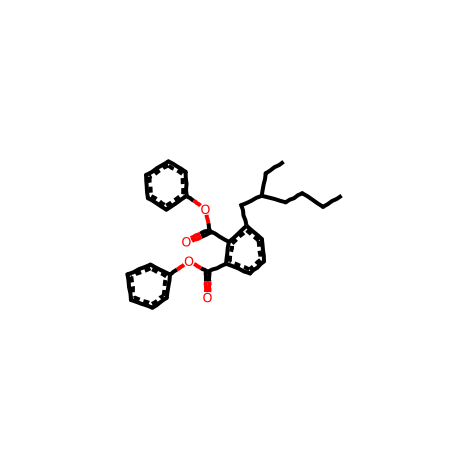 CCCCC(CC)Cc1cccc(C(=O)Oc2ccccc2)c1C(=O)Oc1ccccc1